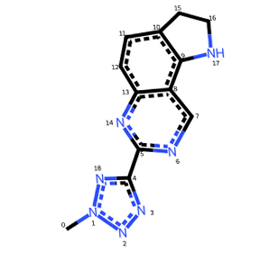 Cn1nnc(-c2ncc3c4c(ccc3n2)CCN4)n1